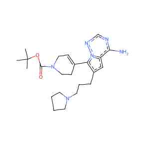 CC(C)(C)OC(=O)N1CC=C(c2c(CCCN3CCCC3)cc3c(N)ncnn23)CC1